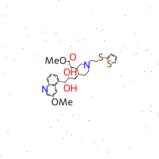 COC(=O)C[C@H]1CN(CCSc2cccs2)CC[C@H]1C[C@@H](O)[C@H](O)c1cccc2ncc(OC)cc12